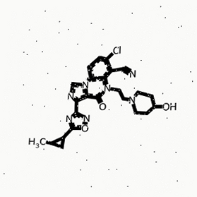 CC1CC1c1nc(-c2ncn3c2c(=O)n(CCN2CCC(O)CC2)c2c(C#N)c(Cl)ccc23)no1